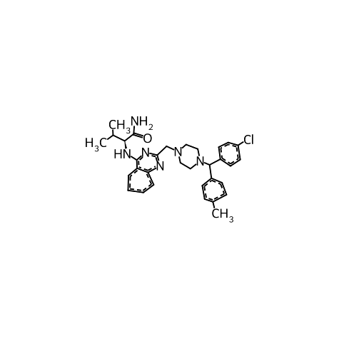 Cc1ccc(C(c2ccc(Cl)cc2)N2CCN(Cc3nc(N[C@H](C(N)=O)C(C)C)c4ccccc4n3)CC2)cc1